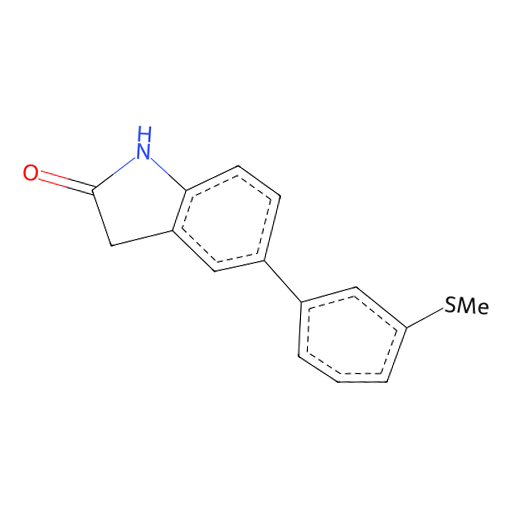 CSc1cccc(-c2ccc3c(c2)CC(=O)N3)c1